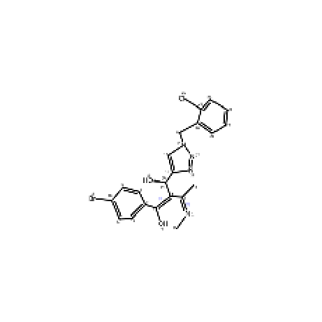 C/N=C(C)\C(=C(/O)c1ccc(Br)cc1)[C@@H](O)c1cn(Cc2ccccc2Cl)nn1